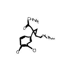 CNCC1CC1(C(=O)OC)c1ccc(Cl)c(Cl)c1